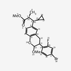 COC(=O)[C@@H](C)[C@H](c1ccc2c(c1)CC(c1ccc(Br)cc1F)C(OC)O2)C1CC1